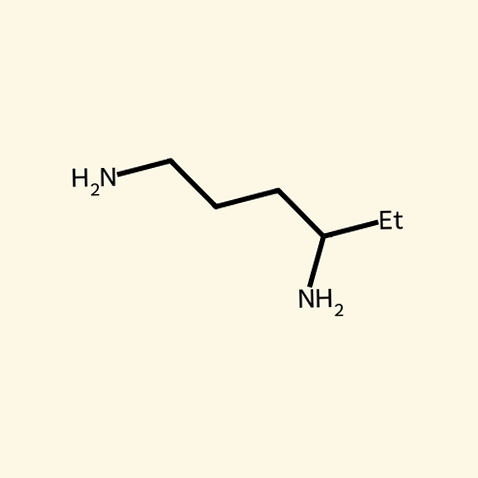 CC[C](N)CCCN